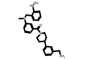 CN(Cc1ccccc1BO)c1cccc(C(=O)N2CCC(c3cccc(CN)c3)CC2)c1